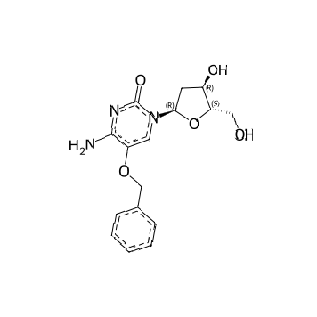 Nc1nc(=O)n([C@H]2C[C@@H](O)[C@H](CO)O2)cc1OCc1ccccc1